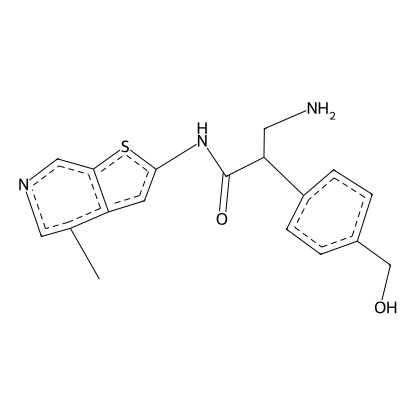 Cc1cncc2sc(NC(=O)C(CN)c3ccc(CO)cc3)cc12